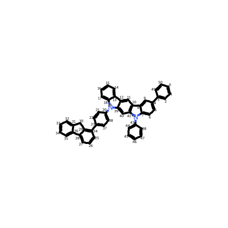 c1ccc(-c2ccc3c(c2)c2cc4c5ccccc5n(-c5ccc(-c6cccc7c6Cc6ccccc6-7)cc5)c4cc2n3-c2ccccc2)cc1